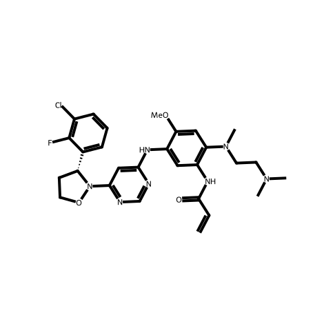 C=CC(=O)Nc1cc(Nc2cc(N3OCC[C@@H]3c3cccc(Cl)c3F)ncn2)c(OC)cc1N(C)CCN(C)C